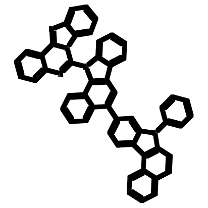 c1ccc(-n2c3cc(-c4cc5c6ccccc6n(-c6nc7ccccc7c7nc8ccccc8n67)c5c5ccccc45)ccc3c3c4ccccc4ccc32)cc1